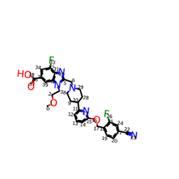 COCCn1c(CN2CCC(c3cccc(OCc4ccc(C#N)cc4F)n3)CC2)nc2c(F)cc(C(=O)O)cc21